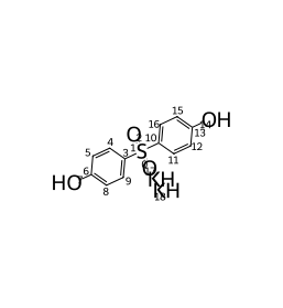 O=S(=O)(c1ccc(O)cc1)c1ccc(O)cc1.[KH].[KH]